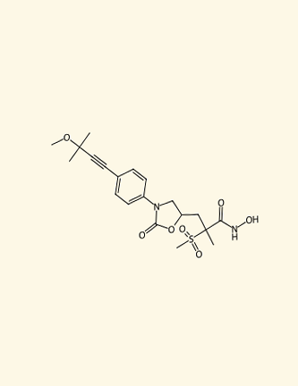 COC(C)(C)C#Cc1ccc(N2CC(CC(C)(C(=O)NO)S(C)(=O)=O)OC2=O)cc1